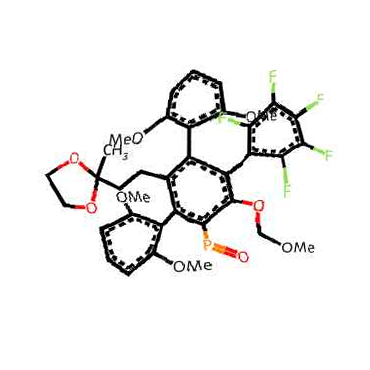 COCOc1c(P=O)c(-c2c(OC)cccc2OC)c(CCC2(C)OCCO2)c(-c2c(OC)cccc2OC)c1-c1c(F)c(F)c(F)c(F)c1F